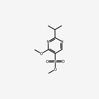 COc1nc(C(C)C)ncc1S(=O)(=O)OC